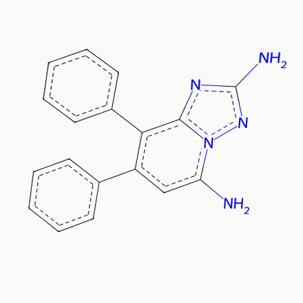 Nc1nc2c(-c3ccccc3)c(-c3ccccc3)cc(N)n2n1